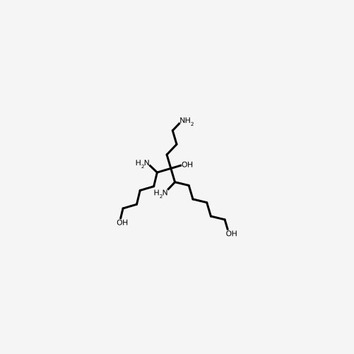 NCCCC(O)(C(N)CCCCO)C(N)CCCCCO